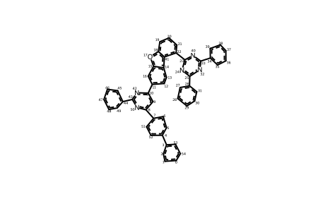 c1ccc(-c2ccc(-c3cc(-c4ccc5c(c4)oc4cccc(-c6nc(-c7ccccc7)nc(-c7ccccc7)n6)c45)nc(-c4ccccc4)n3)cc2)cc1